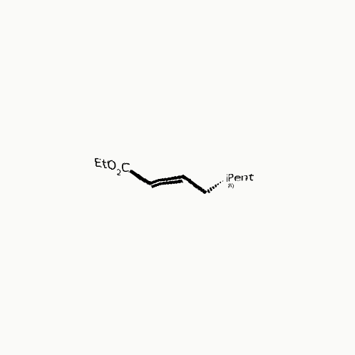 CCC[C@@H](C)CC=CC(=O)OCC